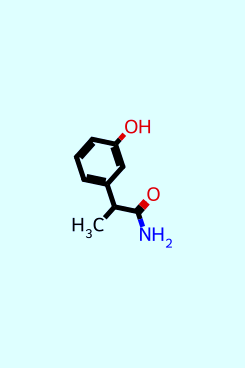 CC(C(N)=O)c1cccc(O)c1